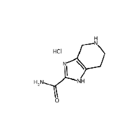 Cl.NC(=O)c1nc2c([nH]1)CCNC2